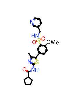 COc1ccc(-c2sc(NC(=O)C3CCCC3)nc2C)cc1S(=O)(=O)NCc1cccnc1